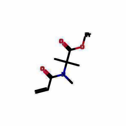 C=CC(=O)N(C)C(C)(C)C(=O)OC(C)C